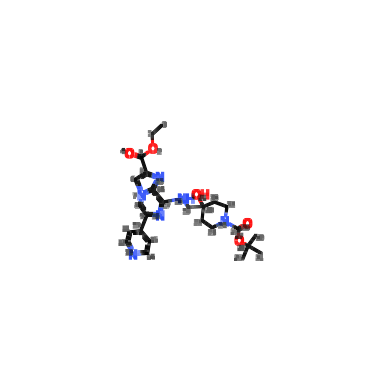 CCOC(=O)c1cn2cc(-c3ccncc3)nc(NCC3(O)CCN(C(=O)OC(C)(C)C)CC3)c2n1